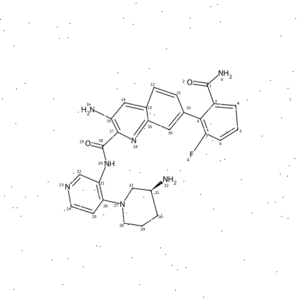 NC(=O)c1cccc(F)c1-c1ccc2cc(N)c(C(=O)Nc3cnccc3N3CCC[C@H](N)C3)nc2c1